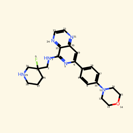 FC1(CNc2nc(-c3ccc(N4CCOCC4)cc3)cc3nccnc23)CCCNC1